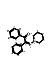 O=C(C(=NN1CCCCC1)c1ccccc1)c1ccccc1